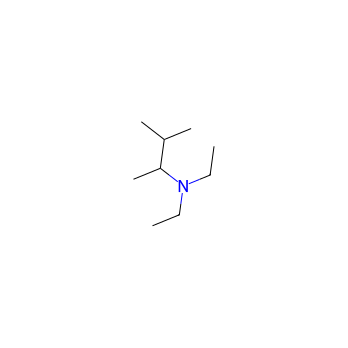 CCN(CC)C(C)C(C)C